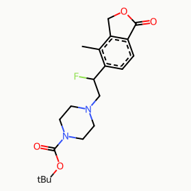 Cc1c(C(F)CN2CCN(C(=O)OC(C)(C)C)CC2)ccc2c1COC2=O